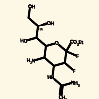 C=C(N)NC1C(N)C(C(O)[C@H](O)CO)OC(F)(C(=O)OCC)C1F